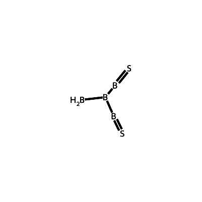 BB(B=S)B=S